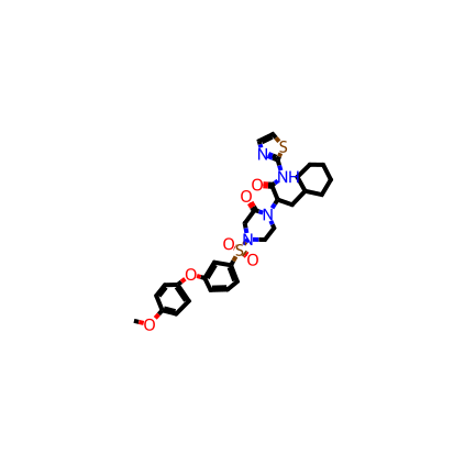 COc1ccc(Oc2cccc(S(=O)(=O)N3CCN(C(CC4CCCCC4)C(=O)Nc4nccs4)C(=O)C3)c2)cc1